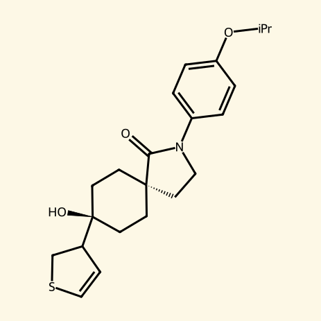 CC(C)Oc1ccc(N2CC[C@]3(CC[C@@](O)(C4C=CSC4)CC3)C2=O)cc1